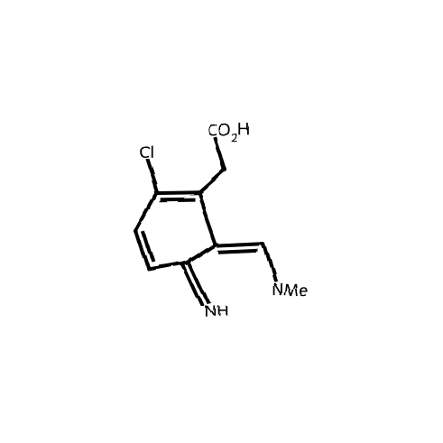 CN/C=C1\C(=N)C=CC(Cl)=C1CC(=O)O